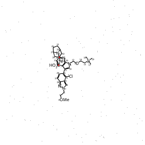 COCCn1cc2c(Cl)c(-c3cn(COCC[Si](C)(C)C)c4nc(N5C6CCC5CC(NC(=O)O)C6)cnc34)ccc2n1